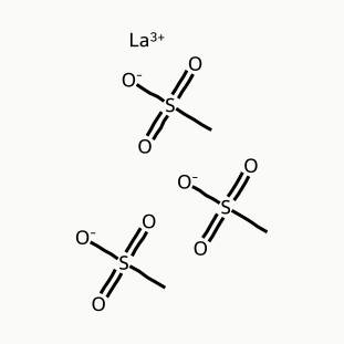 CS(=O)(=O)[O-].CS(=O)(=O)[O-].CS(=O)(=O)[O-].[La+3]